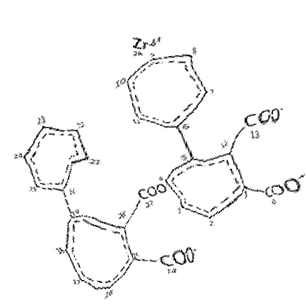 O=C([O-])c1cccc(-c2ccccc2)c1C(=O)[O-].O=C([O-])c1cccc(-c2ccccc2)c1C(=O)[O-].[Zr+4]